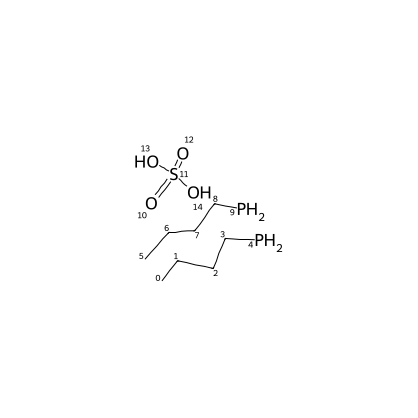 CCCCP.CCCCP.O=S(=O)(O)O